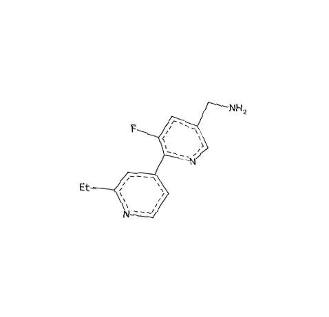 CCc1cc(-c2ncc(CN)cc2F)ccn1